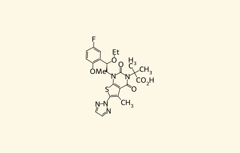 CCO[C@@H](Cn1c(=O)n(C(C)(C)C(=O)O)c(=O)c2c(C)c(-n3nccn3)sc21)c1cc(F)ccc1OC